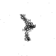 CCc1c(-c2ccc3c(c2)cc(CN2CCCCC2C(F)(F)F)n3C)[nH]c(=O)c(C(=O)Oc2c(CC)c(-c3ccc4c(c3)cc(CN3CCC[C@H](NC)C3)n4C)[nH]c(=O)c2C(=O)O)c1O.Cl.Cl.Cl